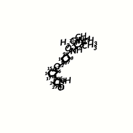 CC1(C)CC(NC(=O)c2ccc(COc3cccc(-c4ccc(=O)[nH]c4)c3)cc2)CC(C)(C)N1